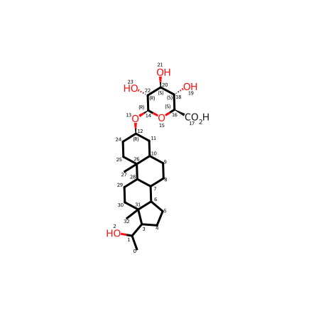 CC(O)C1CCC2C3CCC4C[C@H](O[C@@H]5O[C@H](C(=O)O)[C@@H](O)[C@H](O)[C@H]5O)CCC4(C)C3CCC12C